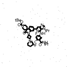 Cc1cc(F)c(Nc2nc(-c3ccc4c(c3)N([C@H]3C[C@@H](N5CCC[C@@H](F)C5)C3)C(=O)C43CCN(C(=O)OC(C)(C)C)CC3)cc3ncn(C(C)C)c23)cc1C(=O)NC(C)C